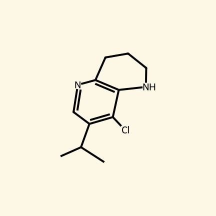 CC(C)c1cnc2c(c1Cl)NCCC2